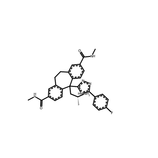 CNC(=O)c1ccc2c(c1)CCc1cc(C(=O)NC)ccc1C2(C[C@@H](C)N)c1nnc(-c2ccc(F)cc2)[nH]1